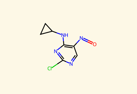 O=Nc1cnc(Cl)nc1NC1CC1